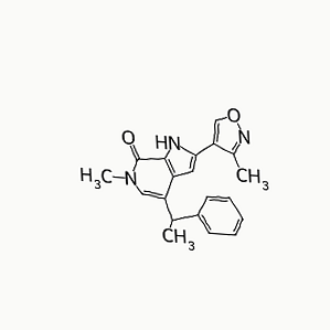 Cc1nocc1-c1cc2c(C(C)c3ccccc3)cn(C)c(=O)c2[nH]1